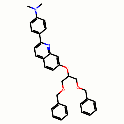 CN(C)c1ccc(-c2ccc3ccc(OC(COCc4ccccc4)COCc4ccccc4)cc3n2)cc1